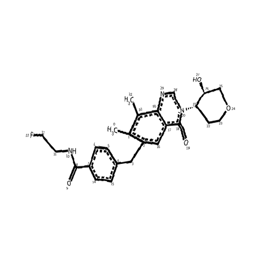 Cc1c(Cc2ccc(C(=O)NCCF)cc2)cc2c(=O)n([C@H]3CCOC[C@@H]3O)cnc2c1C